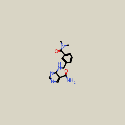 CN(C)C(=O)c1cccc(CNc2ncncc2C(N)=O)c1